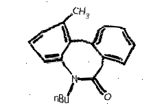 CCCCn1c(=O)c2ccccc2c2c(C)cccc21